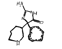 NC1=NC(c2ccccc2)(C2CCCNC2)C(=O)N1